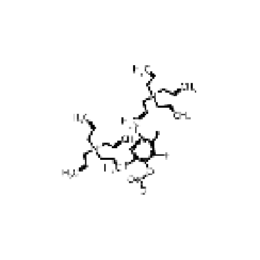 C=CC[N+](CC=C)(CC=C)CC=C.C=CC[N+](CC=C)(CC=C)CC=C.[O-]B([O-])Oc1c(F)cc(F)c(F)c1F